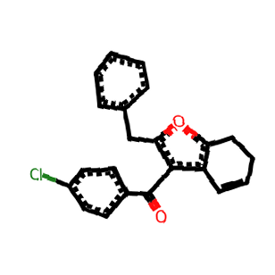 O=C(c1ccc(Cl)cc1)c1c(Cc2ccccc2)oc2c1C=CCC2